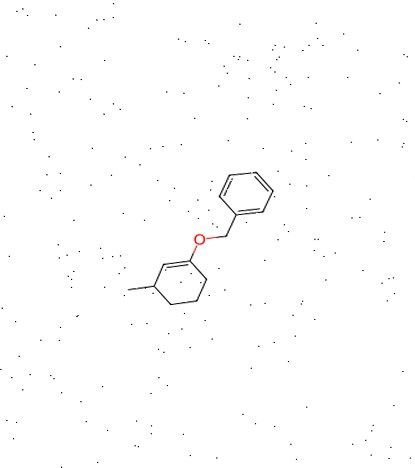 CC1C=C(OCc2ccccc2)CCC1